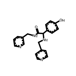 O=C(NCc1cccnc1)C(NCc1ccncc1)c1ccc(O)cc1